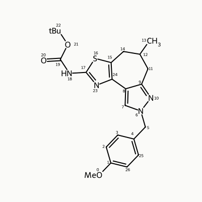 COc1ccc(Cn2cc3c(n2)CC(C)Cc2sc(NC(=O)OC(C)(C)C)nc2-3)cc1